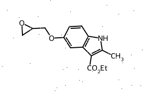 CCOC(=O)c1c(C)[nH]c2ccc(OCC3CO3)cc12